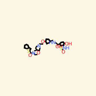 O=C(c1cc2ccccc2s1)N1CCOC2(CCN(CCOc3ccc(CNC[C@H](O)c4ccc(O)c5[nH]c(=O)sc45)cc3)CC2)C1